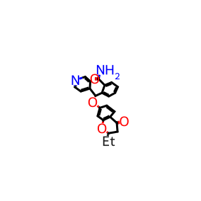 CCC1CC(=O)c2ccc(O[C@@H](c3ccncc3)c3ccccc3C(N)=O)cc2O1